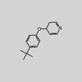 CC(C)(C)c1ccc(OC2C=CN=CC2)cc1